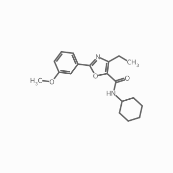 CCc1nc(-c2cccc(OC)c2)oc1C(=O)NC1CCCCC1